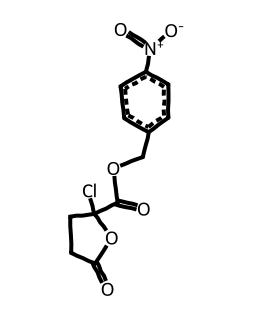 O=C1CCC(Cl)(C(=O)OCc2ccc([N+](=O)[O-])cc2)O1